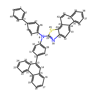 c1ccc(-c2ccc(N(c3ccc(-c4cc5ccccc5c5ccccc45)cc3)c3nc4ccc5c6ccccc6ccc5c4s3)cc2)cc1